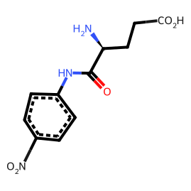 N[C@@H](CCC(=O)O)C(=O)Nc1ccc([N+](=O)[O-])cc1